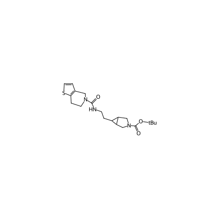 CC(C)(C)OC(=O)N1CC2C(CCNC(=O)N3CCc4sccc4C3)C2C1